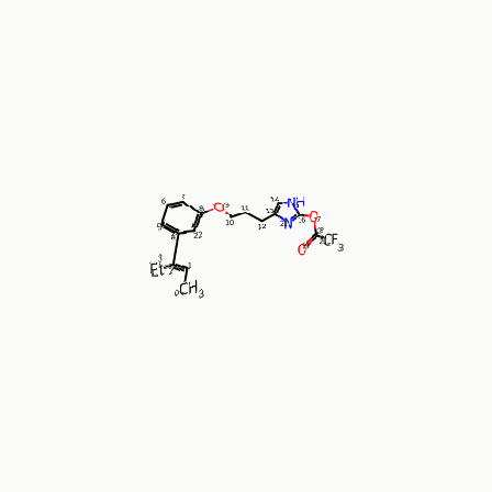 CC=C(CC)c1cccc(OCCCc2c[nH]c(OC(=O)C(F)(F)F)n2)c1